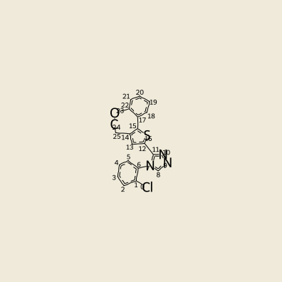 Clc1ccccc1-n1cnnc1-c1cc2c(s1)-c1ccccc1OCC2